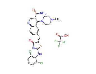 CN1CCN(c2c(C(N)=O)cnc3ccc(C=C4SC(Nc5c(Cl)cccc5Cl)=NC4=O)cc23)CC1.O=C(O)C(F)(F)F